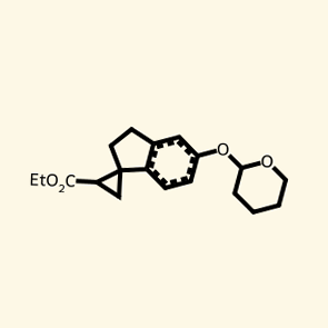 CCOC(=O)C1CC12CCc1cc(OC3CCCCO3)ccc12